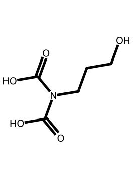 O=C(O)N(CCCO)C(=O)O